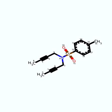 CC#CCN(CC#CC)S(=O)(=O)c1ccc(C)cc1